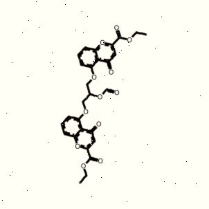 CCOC(=O)c1cc(=O)c2c(OCC(COc3cccc4oc(C(=O)OCC)cc(=O)c34)OC=O)cccc2o1